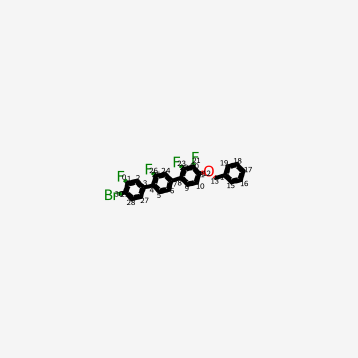 Fc1cc(-c2ccc(-c3ccc(OCc4ccccc4)c(F)c3F)cc2F)ccc1Br